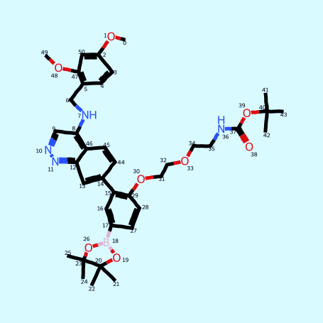 COc1ccc(CNc2cnnc3cc(-c4cc(B5OC(C)(C)C(C)(C)O5)ccc4OCCOCCNC(=O)OC(C)(C)C)ccc23)c(OC)c1